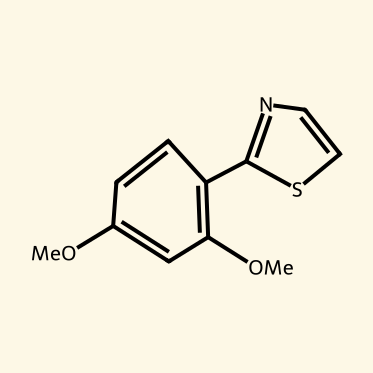 COc1ccc(-c2nccs2)c(OC)c1